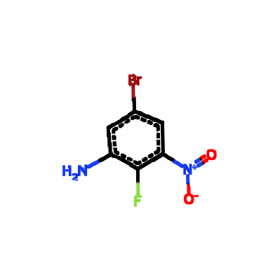 Nc1cc(Br)cc([N+](=O)[O-])c1F